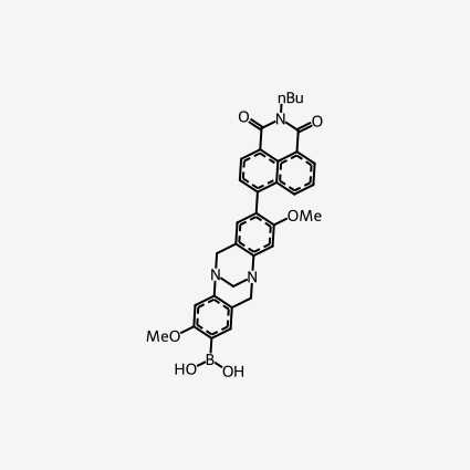 CCCCN1C(=O)c2cccc3c(-c4cc5c(cc4OC)N4Cc6cc(B(O)O)c(OC)cc6N(C5)C4)ccc(c23)C1=O